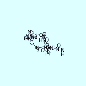 CCn1c(-c2cccnc2[C@H](C)OC)c2c3cc(ccc31)-c1csc(n1)C[C@H](NC(=O)[C@H](C(C)C)N(C)C(=O)N1CC[C@@H](N(C)C(=O)[C@@H]3CN3)C1)C(=O)N1CCC[C@H](N1)C(=O)OCC(C)(C)C2